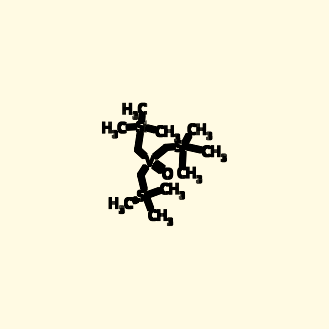 C[Si](C)(C)[CH2][V](=[O])([CH2][Si](C)(C)C)[CH2][Si](C)(C)C